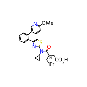 COc1ccc(-c2ccccc2-c2csc(N(C(=O)[C@@H](CC(=O)O)CC(C)C)C3CC3)n2)cn1